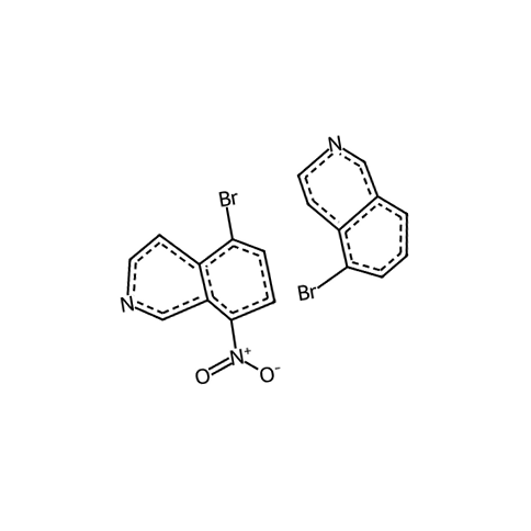 Brc1cccc2cnccc12.O=[N+]([O-])c1ccc(Br)c2ccncc12